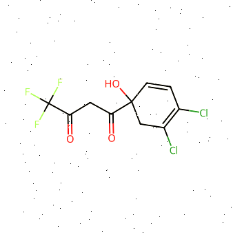 O=C(CC(=O)C1(O)C=CC(Cl)=C(Cl)C1)C(F)(F)F